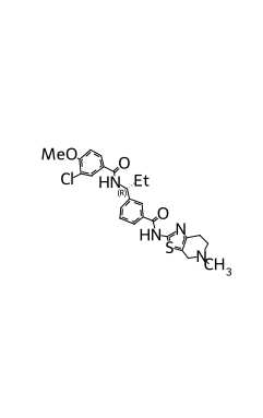 CC[C@@H](NC(=O)c1ccc(OC)c(Cl)c1)c1cccc(C(=O)Nc2nc3c(s2)CN(C)CC3)c1